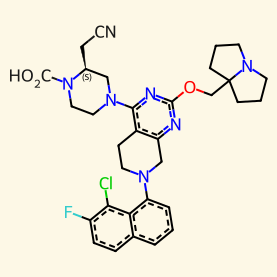 N#CC[C@H]1CN(c2nc(OCC34CCCN3CCC4)nc3c2CCN(c2cccc4ccc(F)c(Cl)c24)C3)CCN1C(=O)O